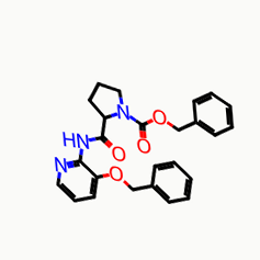 O=C(Nc1ncccc1OCc1ccccc1)C1CCCN1C(=O)OCc1ccccc1